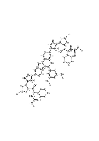 COC(=O)NC(C(=O)N1CC(F)C[C@H]1c1ncc(-c2ccc3c(c2)cc2n3C(c3cc(OC)cc(OC)c3)Oc3cc(-c4cnc(C5C[C@@H](F)CN5C(=O)[C@@H](NC(=O)OC)C5CCOCC5)[nH]4)ccc3-2)[nH]1)C1CCOCC1